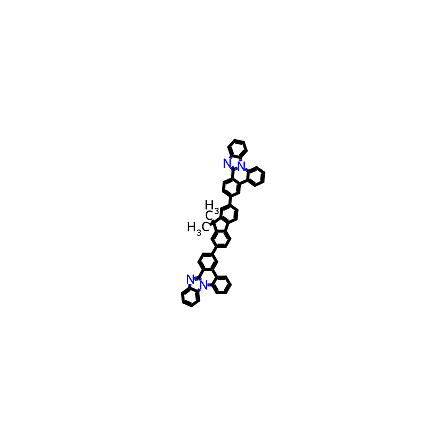 CC1(C)c2cc(-c3ccc4c(c3)c3ccccc3n3c5ccccc5nc43)ccc2-c2ccc(-c3ccc4c(c3)c3ccccc3n3c5ccccc5nc43)cc21